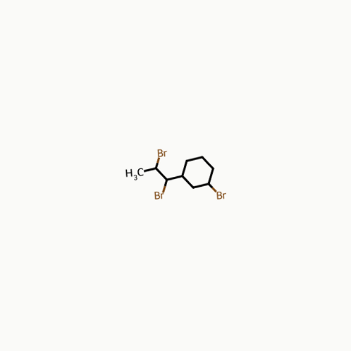 CC(Br)C(Br)C1CCCC(Br)C1